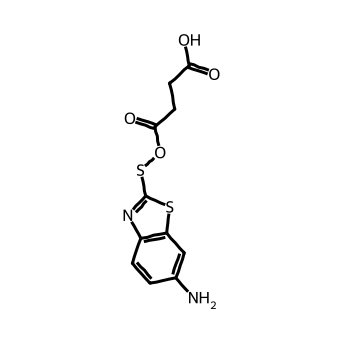 Nc1ccc2nc(SOC(=O)CCC(=O)O)sc2c1